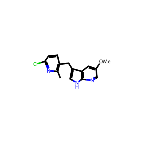 COc1cnc2[nH]cc(Cc3ccc(Cl)nc3C)c2c1